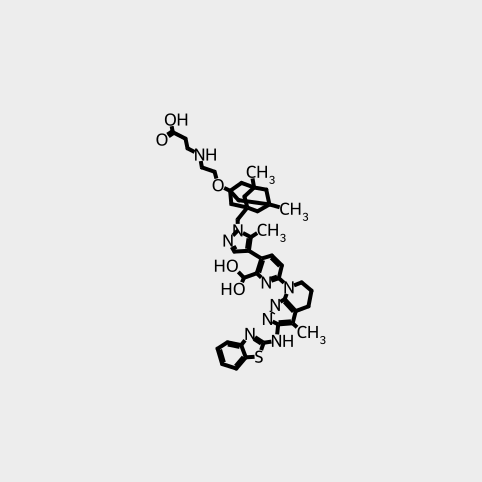 Cc1c(Nc2nc3ccccc3s2)nnc2c1CCCN2c1ccc(-c2cnn(CC34CC5(C)CC(C)(C3)CC(OCCNCCC(=O)O)(C5)C4)c2C)c(C(O)O)n1